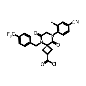 N#Cc1ccc(N2CC(=O)N(Cc3ccc(C(F)(F)F)cc3)[C@]3(C[C@H](C(=O)Cl)C3)C2=O)c(F)c1